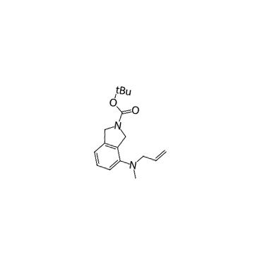 C=CCN(C)c1cccc2c1CN(C(=O)OC(C)(C)C)C2